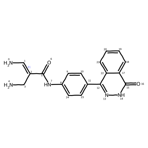 N/C=C(\CN)C(=O)Nc1ccc(-c2n[nH]c(=O)c3ccccc23)cc1